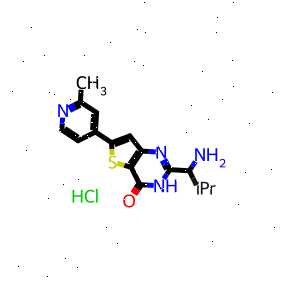 Cc1cc(-c2cc3nc(C(N)C(C)C)[nH]c(=O)c3s2)ccn1.Cl